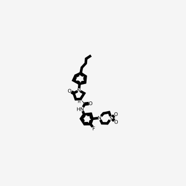 CCCCc1ccc(N2C[C@H](C(=O)Nc3ccc(F)c(N4CCS(=O)(=O)CC4)c3)CC2=O)cc1